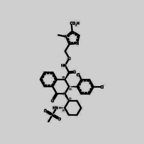 Cn1c(C(=O)O)cnc1CONC(=O)[C@@H]1c2ccccc2C(=O)N([C@H]2CCCC[C@@H]2NS(C)(=O)=O)[C@H]1c1ccc(Cl)cc1Cl